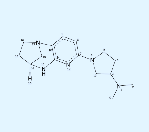 CN(C)C1CCN(c2ccc3c(n2)N[C@H]2CCN3C2)C1